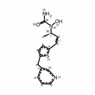 C[C@H](/C=C\c1ccc(Cc2cccnc2)s1)N(O)C(N)=O